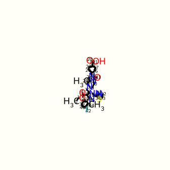 CCOC(=O)C1=C(CN2CCN3C(=O)N(c4ccc(C(=O)O)cc4)C[C@]3(C)C2)NC(c2nccs2)=N[C@H]1c1cccc(F)c1C